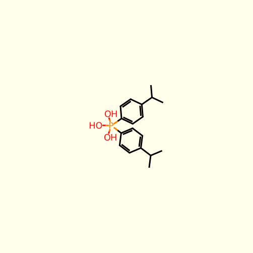 CC(C)c1ccc(P(O)(O)(O)c2ccc(C(C)C)cc2)cc1